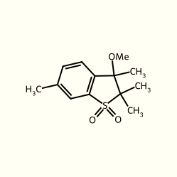 COC1(C)c2ccc(C)cc2S(=O)(=O)C1(C)C